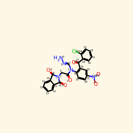 NN=CN(C(=O)CN1C(=O)c2ccccc2C1=O)c1ccc([N+](=O)[O-])cc1C(=O)c1ccccc1Cl